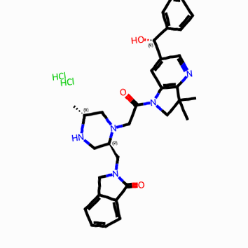 C[C@@H]1CN(CC(=O)N2CC(C)(C)c3ncc([C@H](O)c4ccc(F)cc4)cc32)[C@@H](CN2Cc3ccccc3C2=O)CN1.Cl.Cl